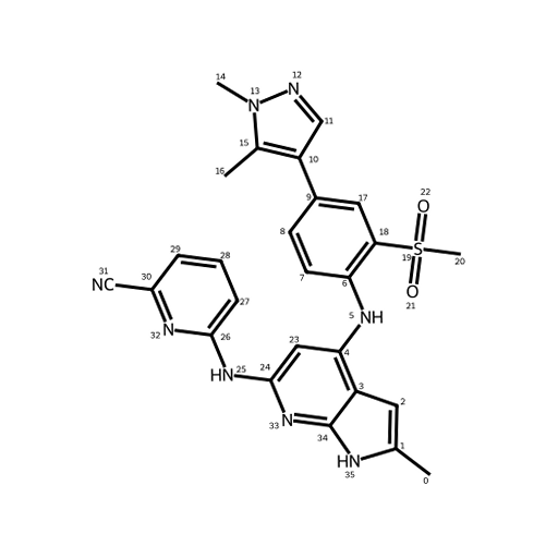 Cc1cc2c(Nc3ccc(-c4cnn(C)c4C)cc3S(C)(=O)=O)cc(Nc3cccc(C#N)n3)nc2[nH]1